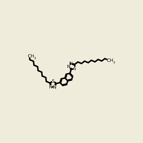 CCCCCCCCCCc1nnc(-c2ccc3ccc(-c4nnc(CCCCCCCCCC)s4)cc3c2)s1